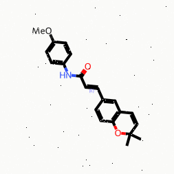 COc1ccc(NC(=O)/C=C/c2ccc3c(c2)C=CC(C)(C)O3)cc1